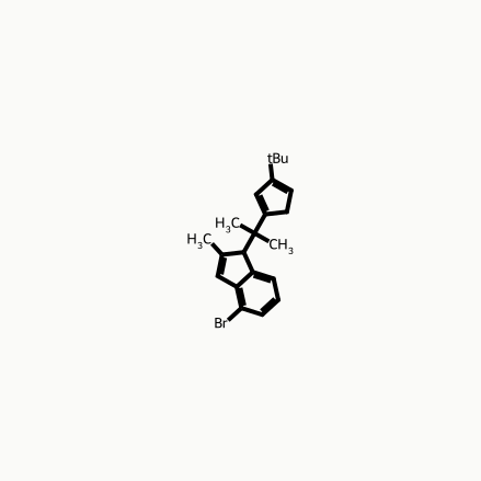 CC1=Cc2c(Br)cccc2C1C(C)(C)C1=CC(C(C)(C)C)=CC1